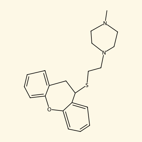 CN1CCN(CCSC2Cc3ccccc3Oc3ccccc32)CC1